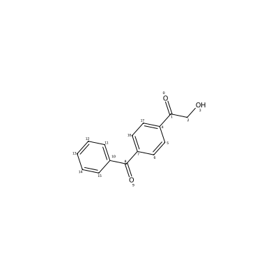 O=C(CO)c1ccc(C(=O)c2ccccc2)cc1